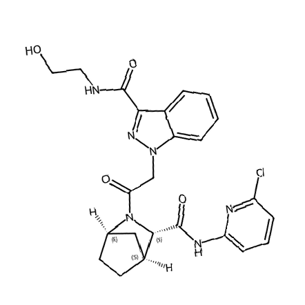 O=C(NCCO)c1nn(CC(=O)N2[C@@H]3CC[C@@H](C3)[C@H]2C(=O)Nc2cccc(Cl)n2)c2ccccc12